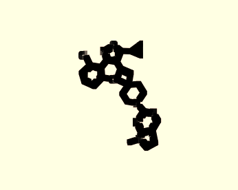 Cn1ccc2cnc(N3CCC4(C=C(c5c(-c6c(Cl)cccc6Cl)noc5C5CC5)C4)CC3)nc21